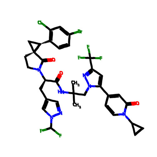 CC(C)(Cn1nc(C(F)(F)F)cc1-c1ccn(C2CC2)c(=O)c1)NC(=O)[C@@H](Cc1cnn(C(F)F)c1)N1CC[C@@]2(C[C@@H]2c2ccc(Br)cc2Cl)C1=O